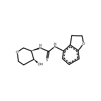 O[C@H]1CCOC[C@H]1NC(=S)Nc1cccc2c1CCO2